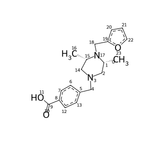 C[C@@H]1CN(Cc2ccc(C(=O)O)cc2)C[C@H](C)N1Cc1ccco1